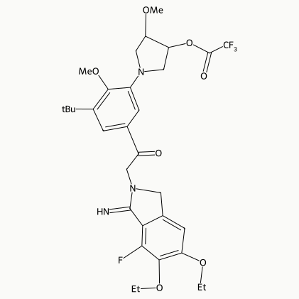 CCOc1cc2c(c(F)c1OCC)C(=N)N(CC(=O)c1cc(N3CC(OC)C(OC(=O)C(F)(F)F)C3)c(OC)c(C(C)(C)C)c1)C2